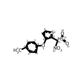 Cc1ccc(Oc2ccsc2C([N+](=O)[O-])[SH](=O)=O)cc1